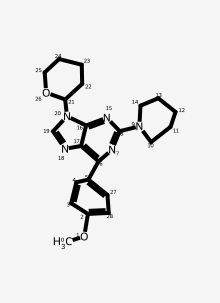 COc1ccc(-c2nc(N3CCCCC3)nc3c2ncn3C2CCCCO2)cc1